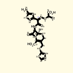 CCC(O/N=C(\C(=O)NC1C(=O)N2C(C(=O)O)=C(CSc3nncs3)CS[C@H]12)c1nsc(N)n1)C(=O)O